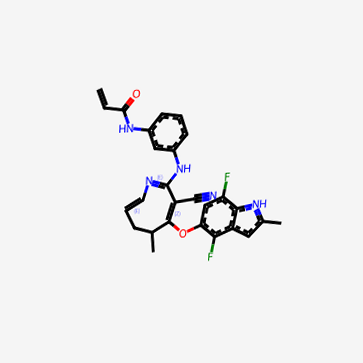 C=CC(=O)Nc1cccc(NC2=N/C=C/CC(C)/C(Oc3cc(F)c4[nH]c(C)cc4c3F)=C\2C#N)c1